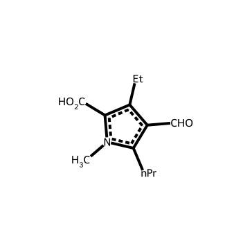 CCCc1c(C=O)c(CC)c(C(=O)O)n1C